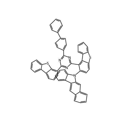 c1ccc(-c2ccc(-c3nc(-c4cccc5c4sc4ccccc45)nc(-c4c(-n5c6ccccc6c6cc7ccccc7cc65)ccc5sc6ccccc6c45)n3)cc2)cc1